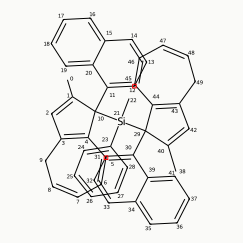 CC1=CC2=C(C=CC=CC2)C1(c1cccc2ccccc12)[Si](C)(c1ccccc1)C1(c2cccc3ccccc23)C(C)=CC2=C1C=CC=CC2